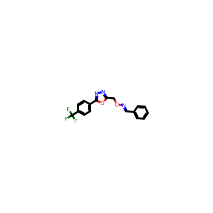 FC(F)(F)c1ccc(-c2nnc(CON=Cc3ccccc3)o2)cc1